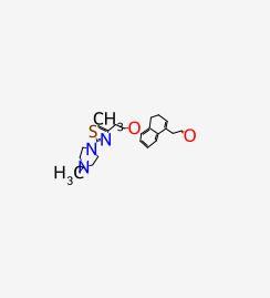 Cc1sc(N2CCN(C)CC2)nc1CCOc1cccc2c1CCC=C2CC=O